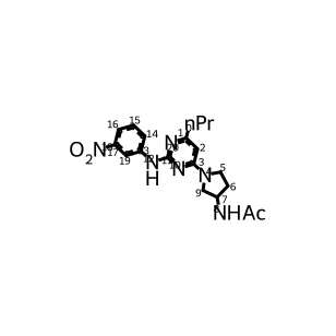 CCCc1cc(N2CCC(NC(C)=O)C2)nc(Nc2cccc([N+](=O)[O-])c2)n1